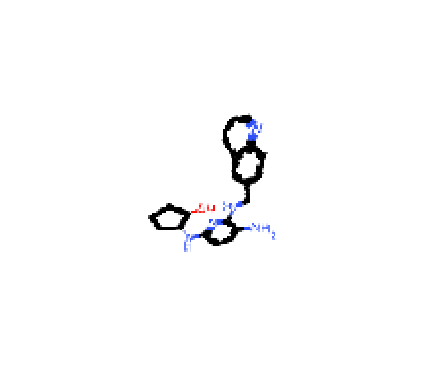 Nc1ccc(N[C@@H]2CCC[C@H]2O)nc1NCc1ccc2ncccc2c1